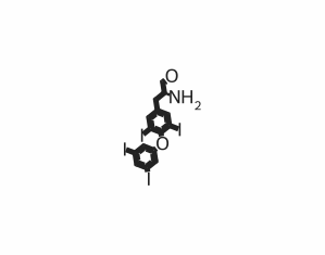 N[C@H](C=O)Cc1cc(I)c(Oc2cc(I)cc(I)c2)c(I)c1